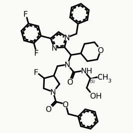 C[C@@H](CO)NC(=O)N(CC1CN(C(=O)OCc2ccccc2)CC1F)C(c1nc(-c2cc(F)ccc2F)cn1Cc1ccccc1)C1CCOCC1